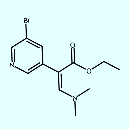 CCOC(=O)C(=CN(C)C)c1cncc(Br)c1